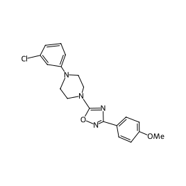 COc1ccc(-c2noc(N3CCN(c4cccc(Cl)c4)CC3)n2)cc1